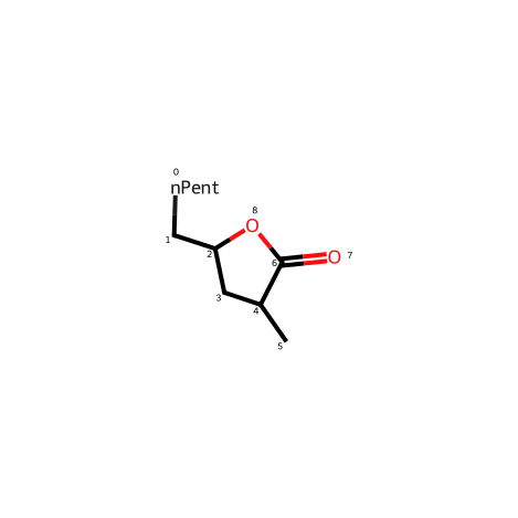 CCCCCCC1CC(C)C(=O)O1